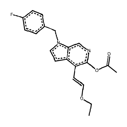 CCOC=Cc1c(OC(C)=O)ncc2c1ccn2Cc1ccc(F)cc1